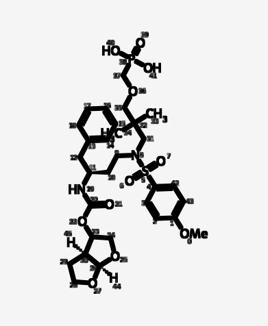 COc1ccc(S(=O)(=O)N(CC[C@H](Cc2ccccc2)NC(=O)OC2CO[C@H]3OCC[C@@H]23)CC(C)(C)COCP(=O)(O)O)cc1